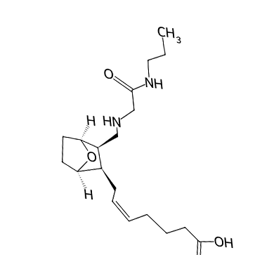 CCCNC(=O)CNC[C@H]1[C@@H](C/C=C\CCCC(=O)O)[C@H]2CC[C@@H]1O2